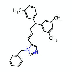 Cc1cccc(C(CC=Cc2cncn2Cc2ccccc2)c2cc(C)cc(C)c2)c1